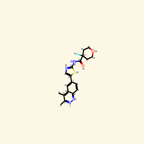 Cc1nnc2ccc(-c3cnc(NC(=O)C4(F)CCOCC4)s3)cc2c1C